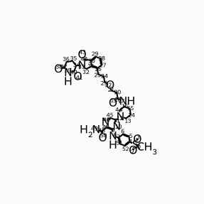 CS(=O)(=O)c1ccc(Nc2nc(N3CCC[C@@H](NC(=O)CCOCCCc4cccc5c4CN(C4CCC(=O)NC4=O)C5=O)C3)cnc2C(N)=O)cc1